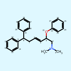 CN(C)CC(C=CCC(c1ccccc1)c1ccccc1)Oc1ccccc1